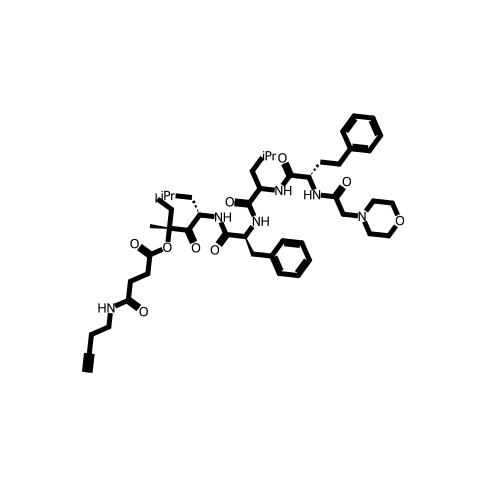 C#CCCNC(=O)CCC(=O)O[C@](C)(CI)C(=O)[C@H](CC(C)C)NC(=O)[C@H](Cc1ccccc1)NC(=O)C(CC(C)C)NC(=O)[C@H](CCc1ccccc1)NC(=O)CN1CCOCC1